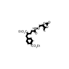 CCOC(=O)c1ccc(CC(CCC(=O)NOCc2oc(=O)oc2C)C(=O)OCC)cc1